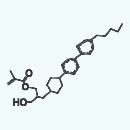 C=C(C)C(=O)OCC(CO)CC1CCC(c2ccc(-c3ccc(CCCCC)cc3)cc2)CC1